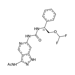 CC(=O)Nc1n[nH]c2cc(NC(=O)N[C@H](COC(F)F)c3ccccc3)ncc12